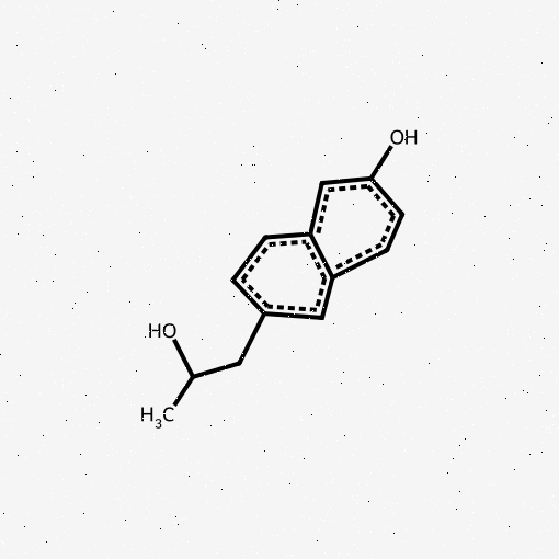 CC(O)Cc1ccc2cc(O)ccc2c1